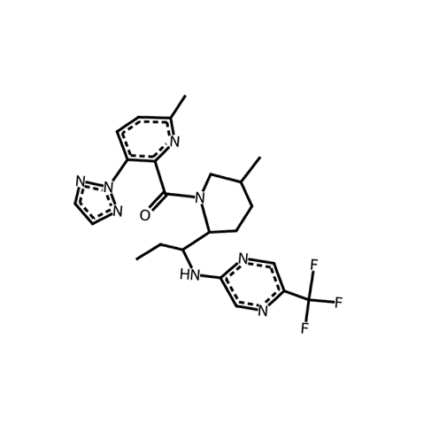 CCC(Nc1cnc(C(F)(F)F)cn1)C1CCC(C)CN1C(=O)c1nc(C)ccc1-n1nccn1